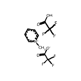 C[n+]1ccccc1.O=C(O)C(F)(F)F.O=C([O-])C(F)(F)F